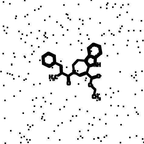 CCOC(=O)C1=CN(C(=O)C(C)=Cc2ccccc2)CCc2c1[nH]c1ccccc21